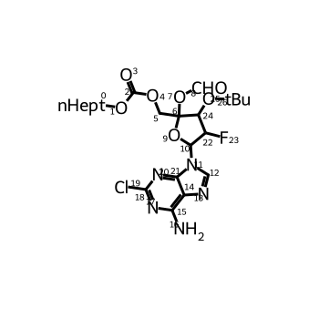 CCCCCCCOC(=O)OCC1(OC=O)OC(n2cnc3c(N)nc(Cl)nc32)C(F)C1OC(C)(C)C